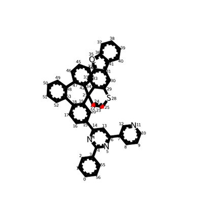 c1ccc(-c2nc(-c3cccnc3)cc(-c3ccc4c(c3)C3(c5ccccc5Sc5cc6c(cc53)oc3ccccc36)c3ccccc3-c3ccccc3-4)n2)cc1